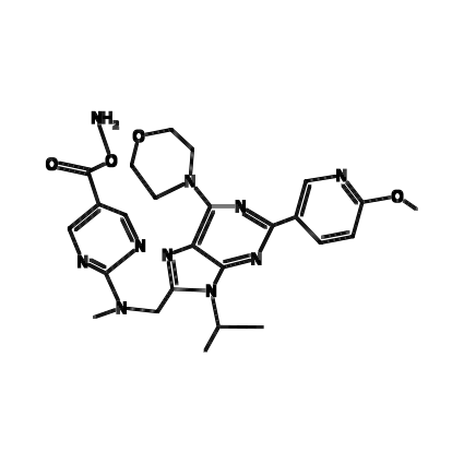 COc1ccc(-c2nc(N3CCOCC3)c3nc(CN(C)c4ncc(C(=O)ON)cn4)n(C(C)C)c3n2)cn1